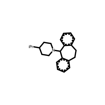 CC(C)C1CCN(C2c3ccccc3CCc3ccccc32)CC1